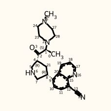 C[C@@H](C(=O)[C@H]1CNC[C@@H](c2ccc(C#N)c3ncccc23)C1)N1CCN(C)CC1